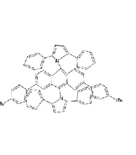 CC(C)(C)c1ccc(-c2ccc3c(-n4c(-c5ccccc5)ccc4-c4ccccc4)c4ccc(-c5ccc(C(C)(C)C)cc5)cc4c(-n4c(-c5ccccc5)ccc4-c4ccccc4)c3c2)cc1